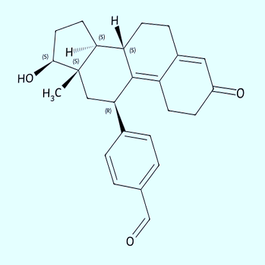 C[C@]12C[C@H](c3ccc(C=O)cc3)C3=C4CCC(=O)C=C4CC[C@H]3[C@@H]1CC[C@@H]2O